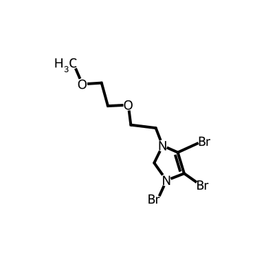 COCCOCCN1CN(Br)C(Br)=C1Br